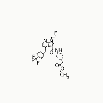 CCOC(=O)C[C@H]1CC[C@H](NC(=O)c2cn(CCF)c3nccc(Cc4ccc(C(F)(F)F)cc4)c23)CC1